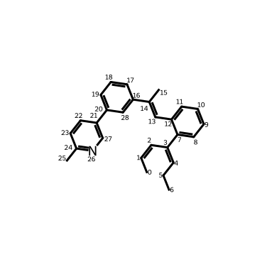 C/C=C\C(=C/CC)c1ccccc1/C=C(\C)c1cccc(-c2ccc(C)nc2)c1